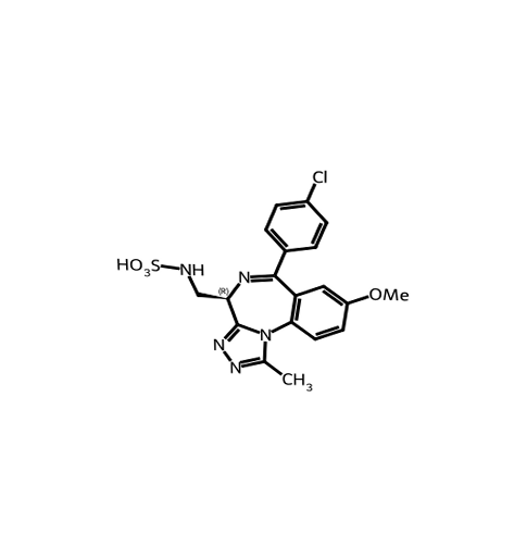 COc1ccc2c(c1)C(c1ccc(Cl)cc1)=N[C@H](CNS(=O)(=O)O)c1nnc(C)n1-2